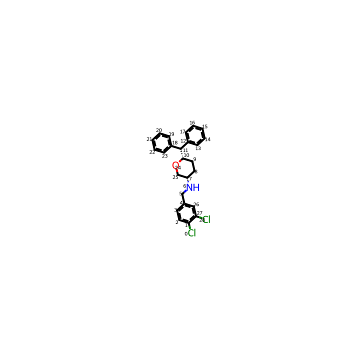 Clc1ccc(CN[C@H]2CC[C@@H](C(c3ccccc3)c3ccccc3)OC2)cc1Cl